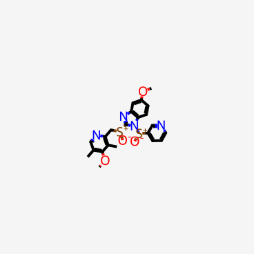 COc1ccc2c(c1)nc([S+]([O-])Cc1ncc(C)c(OC)c1C)n2[S+]([O-])c1cccnc1